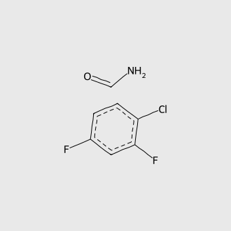 Fc1ccc(Cl)c(F)c1.NC=O